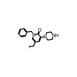 O=c1c(N2CCNCC2)cc(CI)cn1Cc1ccccc1